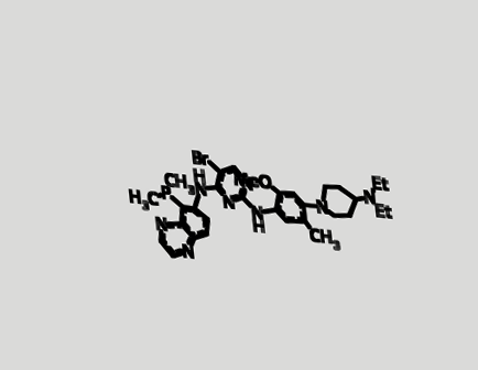 CCN(CC)C1CCN(c2cc(OC)c(Nc3ncc(Br)c(Nc4ccc5nccnc5c4P(C)C)n3)cc2C)CC1